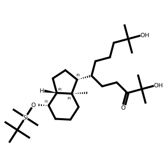 CC(C)(O)CCCC(CCC(=O)C(C)(C)O)[C@H]1CC[C@H]2[C@@H](O[Si](C)(C)C(C)(C)C)CCC[C@]12C